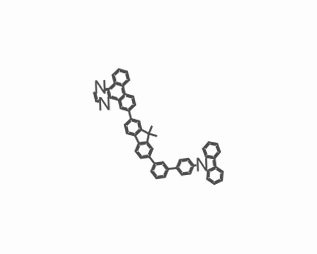 CC1(C)c2cc(-c3cccc(-c4ccc(-n5c6ccccc6c6ccccc65)cc4)c3)ccc2-c2ccc(-c3ccc4c5ccccc5c5nccnc5c4c3)cc21